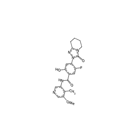 COc1cncc(NC(=O)c2cc(F)c(-n3nc4n(c3=O)CCCC4)cc2O)c1C